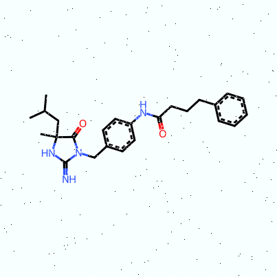 CC(C)CC1(C)NC(=N)N(Cc2ccc(NC(=O)CCCc3ccccc3)cc2)C1=O